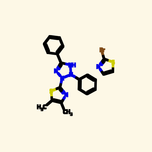 Brc1nccs1.Cc1nc(N2N=C(c3ccccc3)NN2c2ccccc2)sc1C